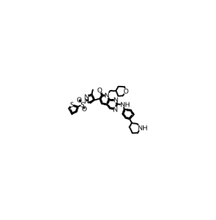 Cc1nn(S(=O)(=O)c2cccs2)cc1-c1cc2cnc(Nc3ccc(C4CCCNC4)cc3)nc2n(CC2CCOCC2)c1=O